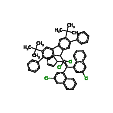 CC(C)(C)c1cc2c(cc1-c1ccccc1)[CH]([Zr]([Cl])([Cl])(=[C](c1cc(Cl)cc3ccccc13)c1cc(Cl)cc3ccccc13)[CH]1C=CC=C1)c1cc(-c3ccccc3)c(C(C)(C)C)cc1-2